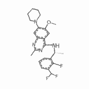 COc1cc2c(N[C@H](C)c3cccc(C(F)F)c3F)nc(C)nc2cc1N1CCCCC1